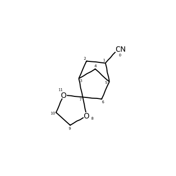 N#CC1CC2CC1CC21OCCO1